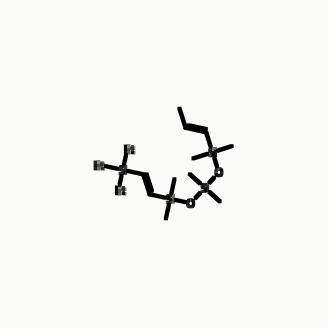 CC=C[Si](C)(C)O[Si](C)(C)O[Si](C)(C)C=C[Si](CC)(CC)CC